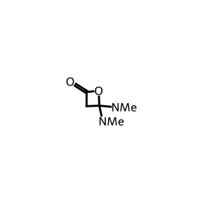 CNC1(NC)CC(=O)O1